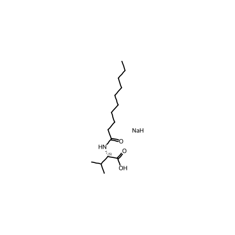 CCCCCCCCCC(=O)N[C@H](C(=O)O)C(C)C.[NaH]